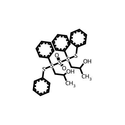 CC(O)CS(Sc1ccccc1)(c1ccccc1)S(=O)(=O)S(CC(C)O)(Sc1ccccc1)c1ccccc1